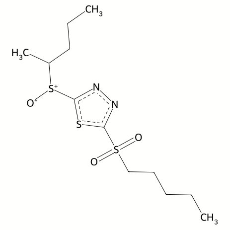 CCCCCS(=O)(=O)c1nnc([S+]([O-])C(C)CCC)s1